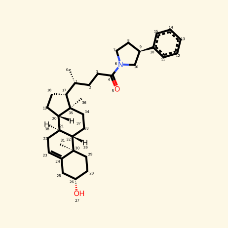 C[C@H](CCC(=O)N1CC[C@@H](c2ccccc2)C1)[C@H]1CC[C@H]2[C@@H]3CC=C4C[C@@H](O)CC[C@]4(C)[C@H]3CC[C@]12C